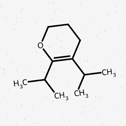 CC(C)C1=C(C(C)C)OCCC1